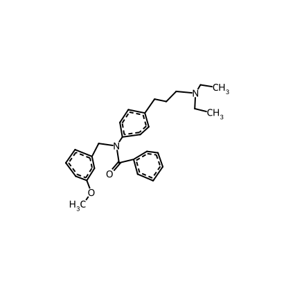 CCN(CC)CCCc1ccc(N(Cc2cccc(OC)c2)C(=O)c2ccccc2)cc1